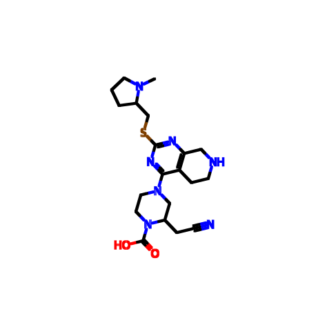 CN1CCCC1CSc1nc2c(c(N3CCN(C(=O)O)C(CC#N)C3)n1)CCNC2